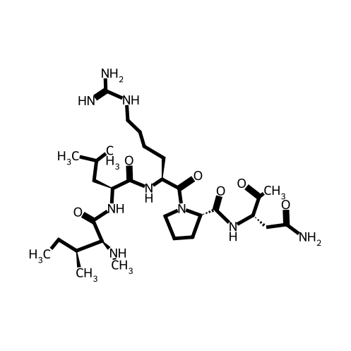 CC[C@H](C)[C@H](NC)C(=O)N[C@@H](CC(C)C)C(=O)N[C@@H](CCCCNC(=N)N)C(=O)N1CCC[C@H]1C(=O)N[C@@H](CC(N)=O)C(C)=O